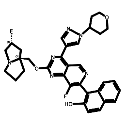 Oc1ccc2ccccc2c1-c1ncc2c(-c3cnn(C4CCOCC4)c3)nc(OC[C@@]34CCCN3C[C@H](F)C4)nc2c1F